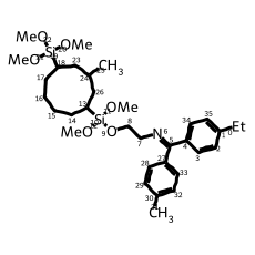 CCc1ccc(/C(=N/CCO[Si](OC)(OC)C2CCCCC([Si](OC)(OC)OC)CC(C)C2)c2ccc(C)cc2)cc1